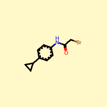 O=C(CBr)Nc1ccc(C2CC2)cc1